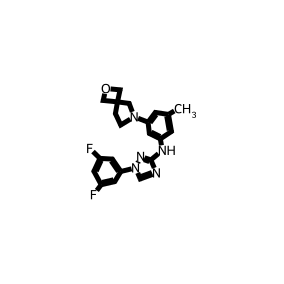 Cc1cc(Nc2ncn(-c3cc(F)cc(F)c3)n2)cc(N2CCC3(COC3)C2)c1